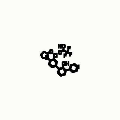 O=C(O)C(F)(F)F.O=C1CCCN1c1ccc(-c2cccc(-c3ccncc3)c2O)cc1Cl